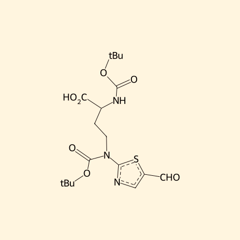 CC(C)(C)OC(=O)NC(CCN(C(=O)OC(C)(C)C)c1ncc(C=O)s1)C(=O)O